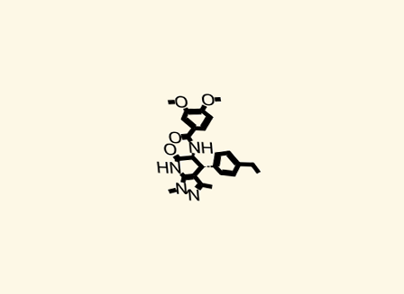 CCc1ccc([C@@H]2c3c(C)nn(C)c3NC(=O)[C@H]2NC(=O)c2ccc(OC)c(OC)c2)cc1